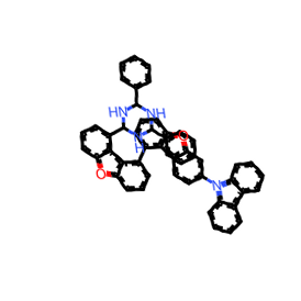 c1ccc(C2NC(c3ccccc3)NC(c3cccc4oc5cccc(-c6cccc7oc8cc(-n9c%10ccccc%10c%10ccccc%109)ccc8c67)c5c34)N2)cc1